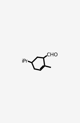 CC1=CCC(C(C)C)CC1C=O